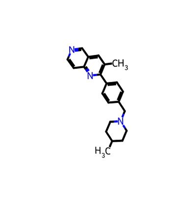 Cc1cc2cnccc2nc1-c1ccc(CN2CCC(C)CC2)cc1